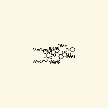 CCCC(C)c1cc(OC)cc(-c2cc(OC)cc(C(C)CCC)c2Op2oc3c(C(C)CCC)cc(OC)cc3c3cc(OC)cc(C(C)CCC)c3o2)c1OP1OC(=O)c2ccccc2O1